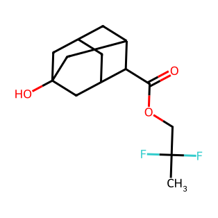 CC(F)(F)COC(=O)C1C2CC3CC1CC(O)(C3)C2